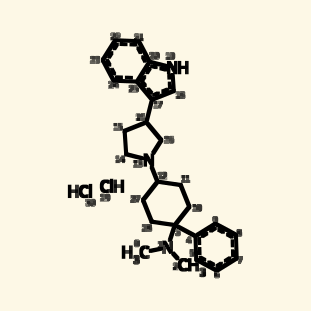 CN(C)C1(c2ccccc2)CCC(N2CCC(c3c[nH]c4ccccc34)C2)CC1.Cl.Cl